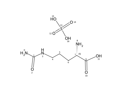 NC(=O)NCCC[C@H](N)C(=O)O.O=S(=O)(O)O